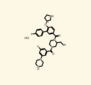 CC(C)CC1CN(C(=O)c2cc(F)cc(N3CCNCC3)c2)CCN1C(=O)c1ccc(O[C@H]2CCNC2)c(-c2ccc(F)cc2)c1.Cl